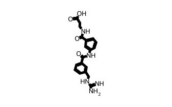 N=C(N)NCc1cccc(C(=O)Nc2cccc(C(=O)NCCC(=O)O)c2)c1